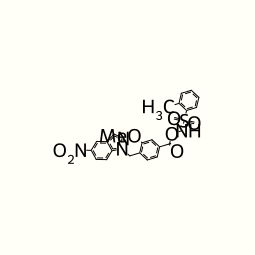 COc1cc(C(=O)ONS(=O)(=O)c2ccccc2C)ccc1Cn1ncc2cc([N+](=O)[O-])ccc21